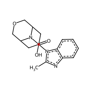 Cc1nc2ccccc2n1C1CC2COCC(C1)N2C(=O)O